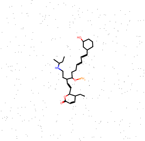 CCC(C)NCCC(C=CC1OC(=O)C=CC1CC)C(CCC=CC=CC1CCCC(O)C1)OP